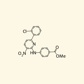 COC(=O)c1ccc(Nc2nc(-c3ccccc3Cl)ccc2[N+](=O)[O-])cc1